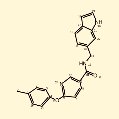 Cc1ccc(Oc2ccc(C(=O)NCc3ccc4cc[nH]c4c3)cn2)cc1